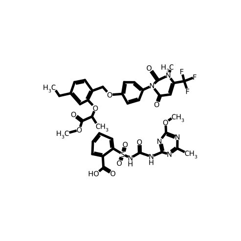 CCc1ccc(COc2ccc(-n3c(=O)cc(C(F)(F)F)n(C)c3=O)cc2)c(OC(C)C(=O)OC)c1.COc1nc(C)nc(NC(=O)NS(=O)(=O)c2ccccc2C(=O)O)n1